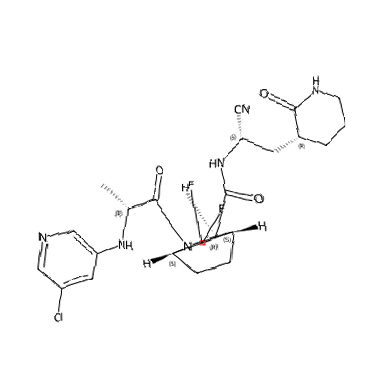 C[C@@H](Nc1cncc(Cl)c1)C(=O)N1[C@H]2CC[C@@H]([C@@H]1C(=O)N[C@H](C#N)C[C@H]1CCCNC1=O)C(F)(F)C2